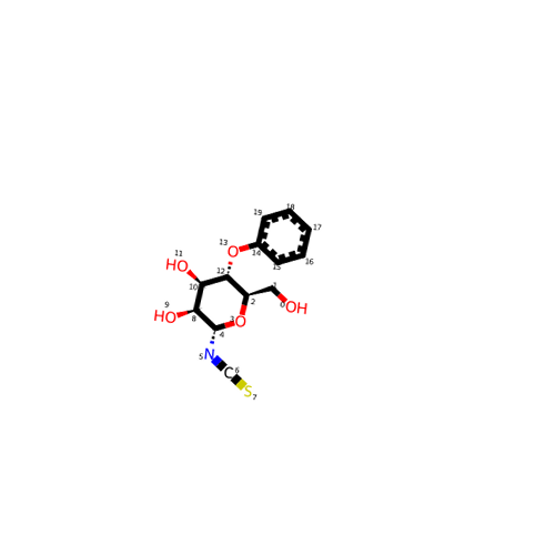 OC[C@H]1O[C@H](N=C=S)[C@@H](O)[C@@H](O)[C@@H]1Oc1ccccc1